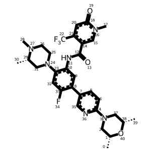 C[C@@H]1CN(c2ccc(-c3cc(NC(=O)c4cn(C)c(=O)cc4C(F)(F)F)c(N4CCN(C)[C@@H](C)C4)cc3F)cn2)C[C@H](C)O1